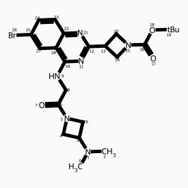 CN(C)C1CN(C(=O)CNc2nc(C3CN(C(=O)OC(C)(C)C)C3)nc3ccc(Br)cc23)C1